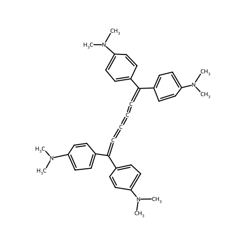 CN(C)c1ccc(C(=C=C=C=C=C(c2ccc(N(C)C)cc2)c2ccc(N(C)C)cc2)c2ccc(N(C)C)cc2)cc1